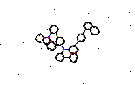 c1ccc(-c2cc(N(c3cccc(-c4ccc(-c5cccc6ccccc56)cc4)c3)c3ccccc3-c3ccccc3)ccc2-c2ccccc2-n2c3ccccc3c3ccccc32)cc1